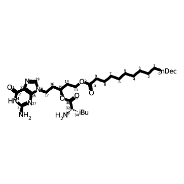 CCCCCCCCCCCCCCCCCCCC(=O)OCCC(CCn1cnc2c(=O)[nH]c(N)nc21)OC(=O)[C@@H](N)[C@@H](C)CC